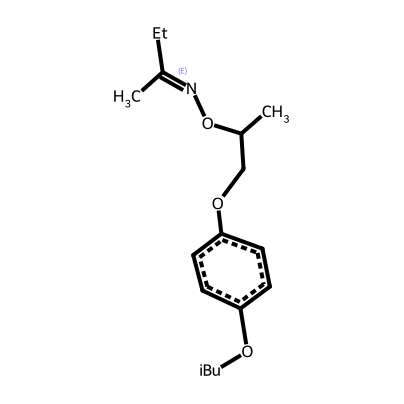 CC/C(C)=N/OC(C)COc1ccc(OC(C)CC)cc1